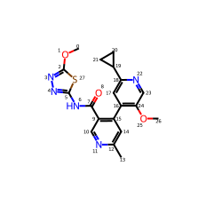 COc1nnc(NC(=O)c2cnc(C)cc2-c2cc(C3CC3)ncc2OC)s1